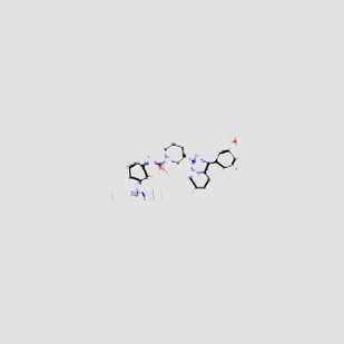 COc1cccc(-c2nc([C@@H]3CCCN(C(=O)Nc4cccc(N(C)C)c4)C3)n3ccccc23)c1